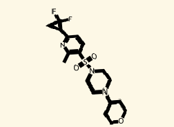 Cc1nc(C2CC2(F)F)ccc1S(=O)(=O)N1CCN(C2CCOCC2)CC1